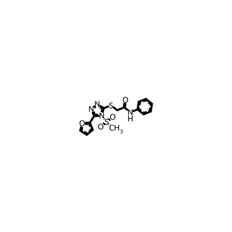 CS(=O)(=O)n1c(SCC(=O)Nc2ccccc2)nnc1-c1ccco1